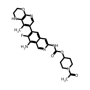 CC(=O)N1CCC(OC(=O)Nc2cc3cc(-c4cnc5c(c4C)NCCO5)c(F)c(N)c3cn2)CC1